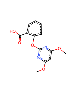 COc1cc(OC)nc(Oc2ccccc2C(=O)O)n1